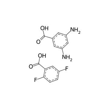 Nc1cc(N)cc(C(=O)O)c1.O=C(O)c1cc(F)ccc1F